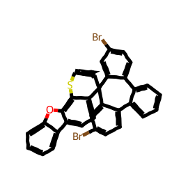 Brc1ccc2c(c1)C1(c3ccccc3Sc3c1ccc1c3oc3ccccc31)c1cc(Br)ccc1-c1ccccc1-2